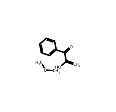 C=C(O)C(=O)c1ccccc1.COC